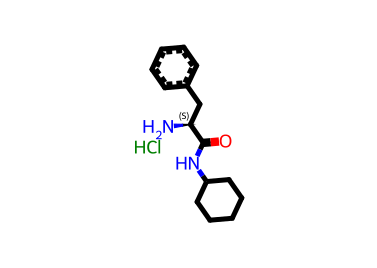 Cl.N[C@@H](Cc1ccccc1)C(=O)NC1CCCCC1